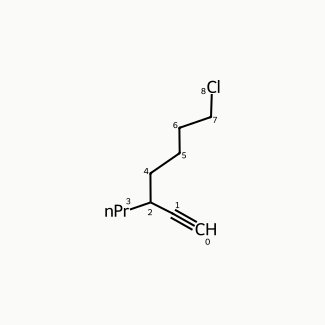 C#CC(CCC)CCCCCl